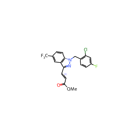 COC(=O)/C=C/c1nn(Cc2ccc(F)cc2Cl)c2ccc(C(F)(F)F)cc12